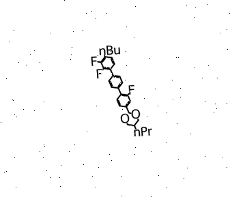 CCCCc1ccc(-c2ccc(-c3ccc(C4OCC(CCC)CO4)cc3F)cc2)c(F)c1F